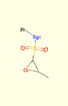 CC(C)NS(=O)(=O)C1OC1C